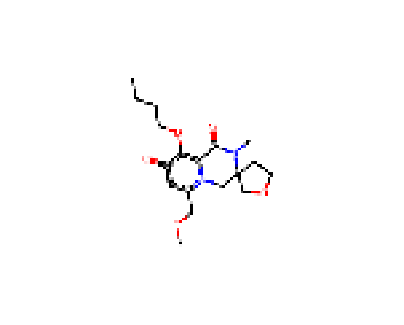 CCCCOc1c2n(c(COC)cc1=O)CC1(CCOC1)N(C)C2=O